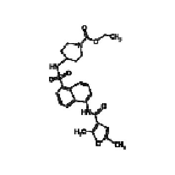 CCOC(=O)N1CCC(NS(=O)(=O)c2cccc3c(NC(=O)c4cc(C)oc4C)cccc23)CC1